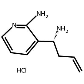 C=CC[C@@H](N)c1cccnc1N.Cl